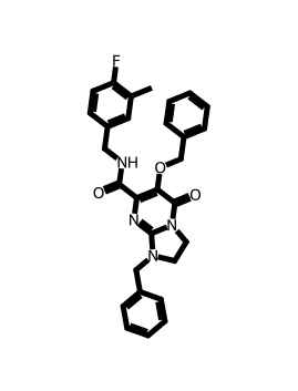 Cc1cc(CNC(=O)c2nc3n(c(=O)c2OCc2ccccc2)CCN3Cc2ccccc2)ccc1F